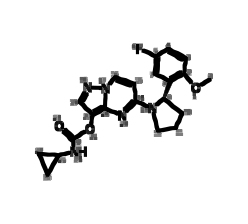 COc1ccc(F)cc1[C@H]1CCCN1c1ccn2ncc(OC(=O)NC3CC3)c2n1